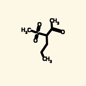 CCCC(C(C)=O)S(C)(=O)=O